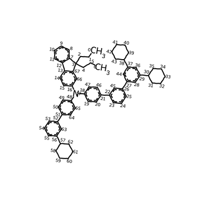 CCCC1(CCC)c2ccccc2-c2ccc(N(c3ccc(-c4cccc(-c5cc(C6CCCCC6)cc(C6CCCCC6)c5)c4)cc3)c3ccc(-c4cccc(C5CCCCC5)c4)cc3)cc21